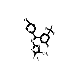 Cc1nc(/N=C(\c2cc(F)cc(C(F)(F)F)c2)c2ccc(Cl)cn2)sc1C